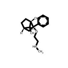 CNCCO[C@@]1(c2ccccc2)C[C@@H]2CC[C@@]1(C)C2(C)C